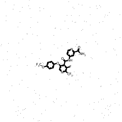 NC(=O)c1cc(NC(=O)c2c(Oc3ccc(OC(F)(F)F)cc3)cnc(C(F)(F)F)c2F)ccn1